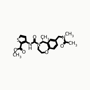 COC(=O)c1sccc1NC(=O)N1CCOc2ccc(CN(C)C(C)=O)cc2[C@H]1C